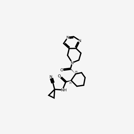 N#CC1(NC(=O)[C@@H]2CCCC[C@H]2C(=O)N2CCc3ncncc3C2)CC1